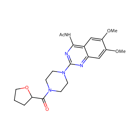 COc1cc2nc(N3CCN(C(=O)C4CCCO4)CC3)nc(NC(C)=O)c2cc1OC